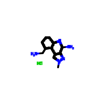 Cl.Cn1cc2c(n1)c(N)nc1cccc(CN)c12